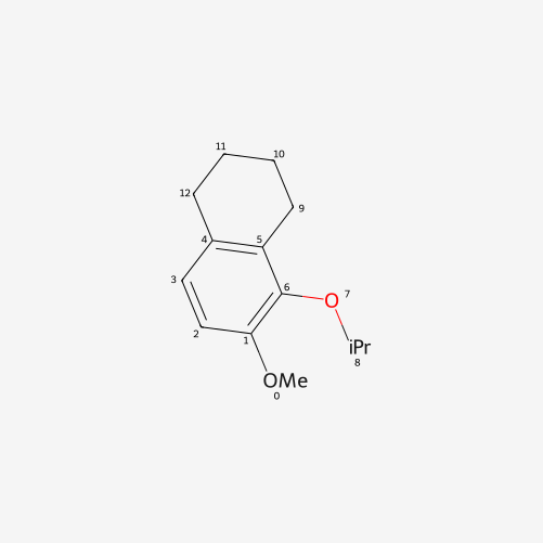 COc1ccc2c(c1OC(C)C)CCCC2